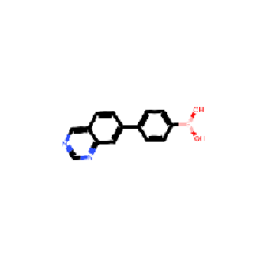 OB(O)c1ccc(-c2ccc3cncnc3c2)cc1